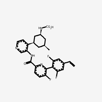 C=Cc1cc(F)c(-c2nc(C(=O)Nc3cnccc3[C@@H]3C[C@H](C)C[C@H](NC(=O)O)C3)ccc2F)c(F)c1